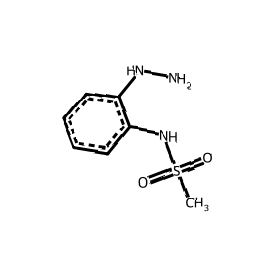 CS(=O)(=O)Nc1ccccc1NN